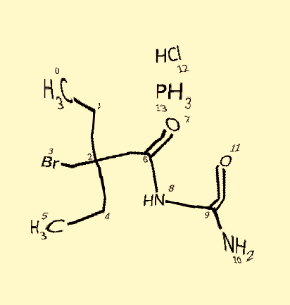 CCC(Br)(CC)C(=O)NC(N)=O.Cl.P